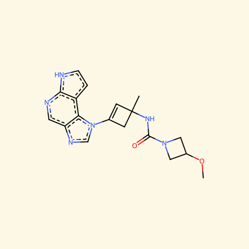 COC1CN(C(=O)NC2(C)C=C(n3cnc4cnc5[nH]ccc5c43)C2)C1